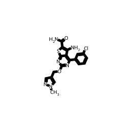 Cn1cc(COc2nc(-c3cccc(Cl)c3)c3c(N)c(C(N)=O)sc3n2)cn1